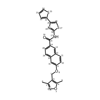 Cc1noc(C)c1COc1ccc2cc(C(=O)Nc3nc(-c4cccs4)cs3)ccc2c1